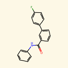 O=C(Nc1ccccc1)c1cccc(-c2ccc(F)cc2)c1